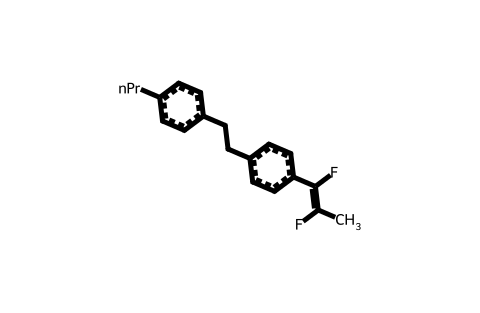 CCCc1ccc(CCc2ccc(C(F)=C(C)F)cc2)cc1